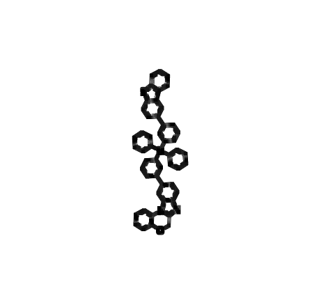 c1ccc([Si](c2ccccc2)(c2cccc(-c3ccc4sc5ccccc5c4c3)c2)c2cccc(-c3ccc4nc5n(c4c3)-c3ccccc3OC5)c2)cc1